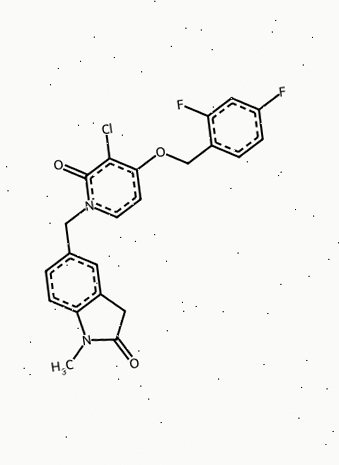 CN1C(=O)Cc2cc(Cn3ccc(OCc4ccc(F)cc4F)c(Cl)c3=O)ccc21